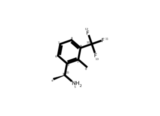 Cc1c([C@H](C)N)cccc1C(F)(F)F